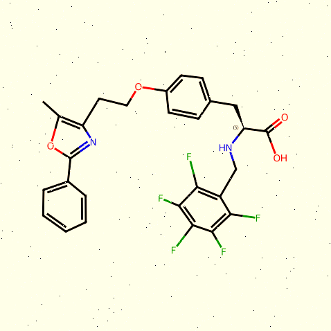 Cc1oc(-c2ccccc2)nc1CCOc1ccc(C[C@H](NCc2c(F)c(F)c(F)c(F)c2F)C(=O)O)cc1